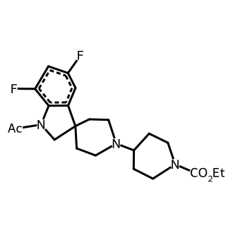 CCOC(=O)N1CCC(N2CCC3(CC2)CN(C(C)=O)c2c(F)cc(F)cc23)CC1